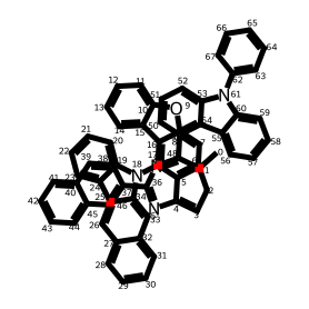 CC1C/C=C(c2ccc3oc4ccccc4c3c2-n2c3ccccc3c3cc4ccccc4cc32)/N=C(c2ccc3ccccc3c2)\N=C/1c1cccc2c1c1ccccc1n2-c1ccccc1